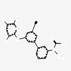 CN(C(=O)O)c1cccc(-c2cc(C#N)cc(Oc3nc(O)c(F)cc3F)c2)c1